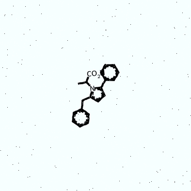 CC(C(=O)O)n1c(Cc2ccccc2)ccc1-c1ccccc1